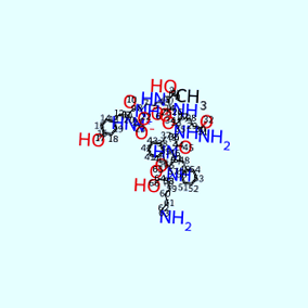 C[C@@H](O)[C@H](NC(=O)CNC(=O)[C@H](Cc1ccc(O)cc1)N[N+](=O)[O-])C(=O)N[C@@H](CCC(N)=O)C(=O)N[C@@H](Cc1ccccc1)C(=O)N[C@@H](Cc1ccccc1)C(=O)N[C@@H](CCCCN)C(=O)O